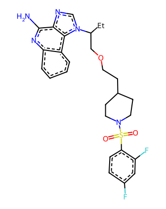 CCC(COCCC1CCN(S(=O)(=O)c2ccc(F)cc2F)CC1)n1cnc2c(N)nc3ccccc3c21